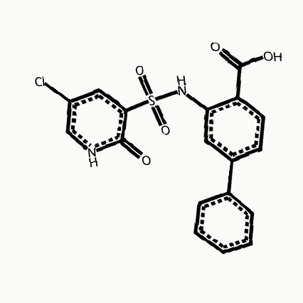 O=C(O)c1ccc(-c2ccccc2)cc1NS(=O)(=O)c1cc(Cl)c[nH]c1=O